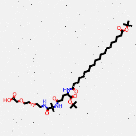 CC(C)(C)OC(=O)CCCCCCCCCCCCCCCCCCC(=O)NC(CCC(=O)NC(C)(C)C(=O)NCCOCCOCC(=O)O)C(=O)OC(C)(C)C